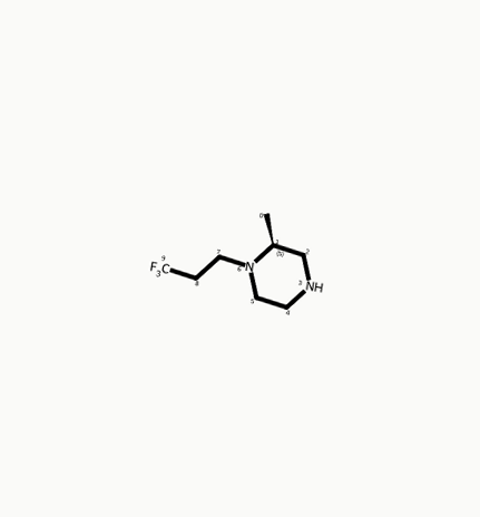 C[C@H]1CNCCN1CCC(F)(F)F